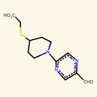 O=Cc1cnc(N2CCC(SCC(=O)O)CC2)cn1